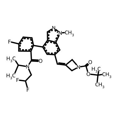 CC(C)N(CC(F)F)C(=O)c1cc(F)ccc1-c1cc(C=C2CN(C(=O)OC(C)(C)C)C2)cc2c1cnn2C